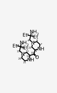 CCC(N)(CC)CN1CCNC(C(=O)C2CN(CC(N)(CC)CC)CCN2)C1